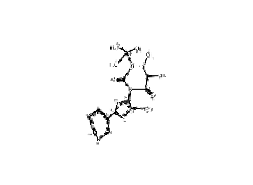 CSC(C)C(=O)N(C(=O)OC(C)(C)C)c1sc(-c2cccnc2)nc1C